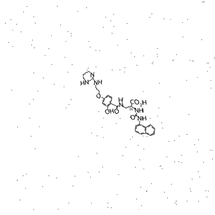 O=C(Nc1cccc2ccccc12)N[C@@H](CNC(=O)c1ccc(OCCNC2=NCCCN2)cc1O)C(=O)O